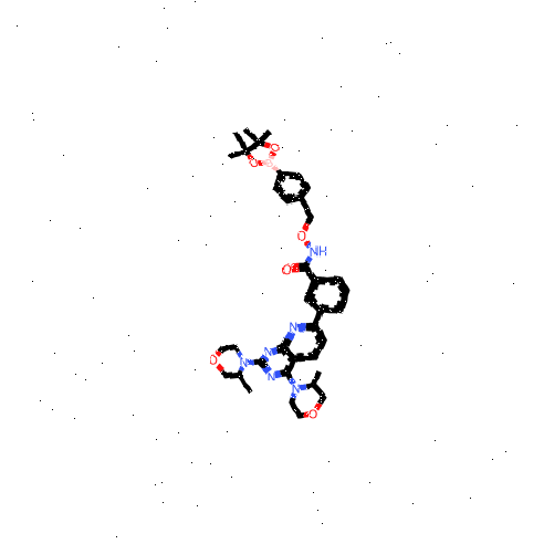 CC1COCCN1c1nc(N2CCOCC2C)c2ccc(-c3cccc(C(=O)NOCc4ccc(B5OC(C)(C)C(C)(C)O5)cc4)c3)nc2n1